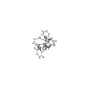 CC1(N2CCCCC2)CCCC(N2CCCCC2)C1(O)C1CCCCC1